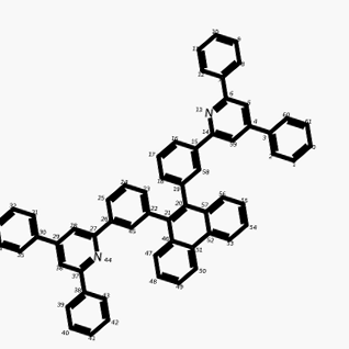 c1ccc(-c2cc(-c3ccccc3)nc(-c3cccc(-c4c(-c5cccc(-c6cc(-c7ccccc7)cc(-c7ccccc7)n6)c5)c5ccccc5c5ccccc45)c3)c2)cc1